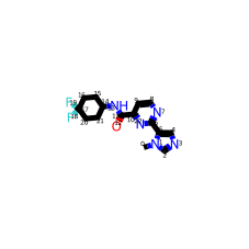 Cn1cncc1-c1nccc(C(=O)NC2CCC(F)(F)CC2)n1